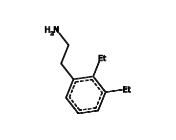 CCc1cccc(CCN)c1CC